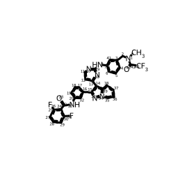 CN(Cc1cccc(Nc2nccc(-c3c(-c4cccc(NC(=O)c5c(F)cccc5F)c4)nn4ccccc34)n2)c1)C(=O)C(F)(F)F